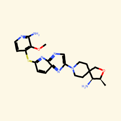 COc1c(Sc2ccc3nc(N4CCC5(CC4)CO[C@@H](C)[C@H]5N)cnc3n2)ccnc1N